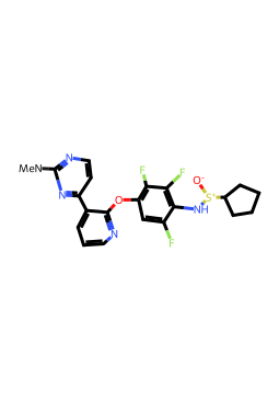 CNc1nccc(-c2cccnc2Oc2cc(F)c(N[S+]([O-])C3CCCC3)c(F)c2F)n1